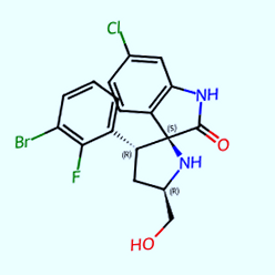 O=C1Nc2cc(Cl)ccc2[C@]12N[C@@H](CO)C[C@@H]2c1cccc(Br)c1F